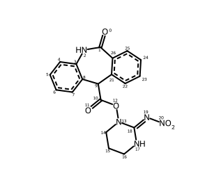 O=C1Nc2ccccc2C(C(=O)ON2CCCNC2=N[N+](=O)[O-])c2ccccc21